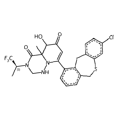 C[C@H](N1CNN2C(c3cccc4c3Cc3ccc(Cl)cc3SC4)=CC(=O)C(O)C2(C)C1=O)C(F)(F)F